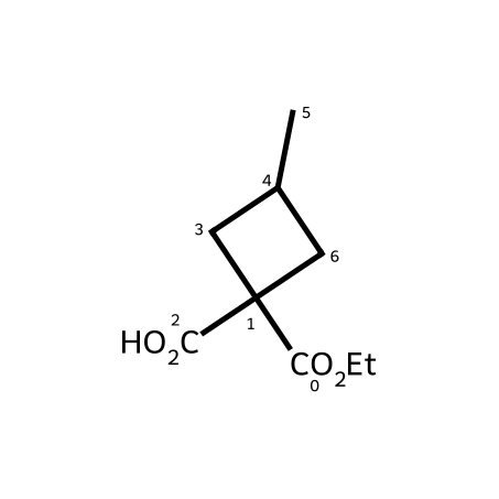 CCOC(=O)C1(C(=O)O)CC(C)C1